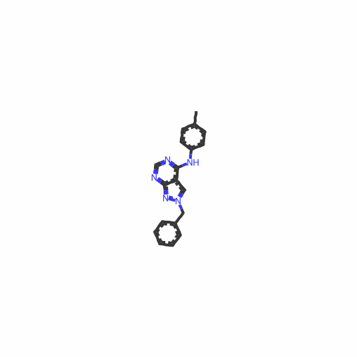 Cc1ccc(Nc2ncnc3nn(Cc4ccccc4)cc23)cc1